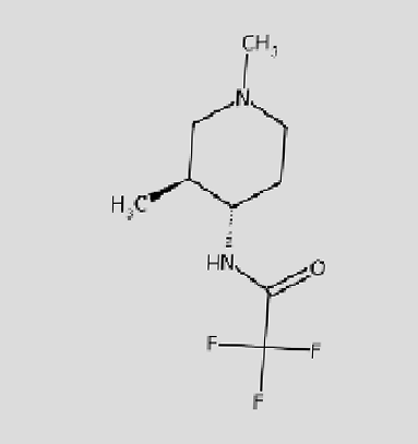 C[C@H]1CN(C)CC[C@@H]1NC(=O)C(F)(F)F